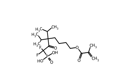 C=C(C)C(=O)OCCCCC(C(=O)C(F)(F)P(=O)(O)O)(C(C)C)C(C)C